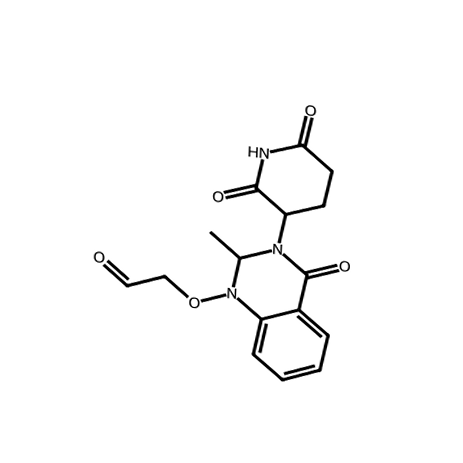 CC1N(OCC=O)c2ccccc2C(=O)N1C1CCC(=O)NC1=O